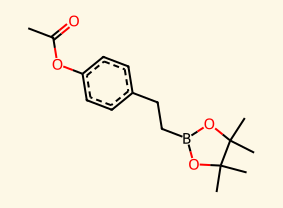 CC(=O)Oc1ccc(CCB2OC(C)(C)C(C)(C)O2)cc1